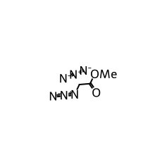 COC(=O)CN=[N+]=[N-].[N-]=[N+]=[N-]